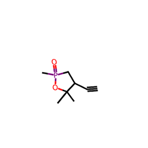 C#CC1CP(C)(=O)OC1(C)C